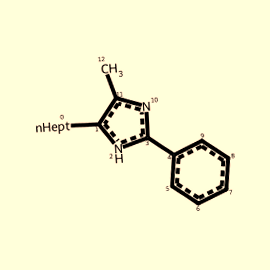 CCCCCCCc1[nH]c(-c2ccccc2)nc1C